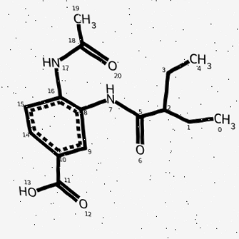 CCC(CC)C(=O)Nc1cc(C(=O)O)ccc1NC(C)=O